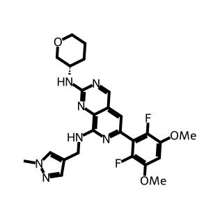 COc1cc(OC)c(F)c(-c2cc3cnc(N[C@H]4CCCOC4)nc3c(NCc3cnn(C)c3)n2)c1F